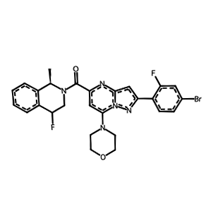 C[C@@H]1c2ccccc2C(F)CN1C(=O)c1cc(N2CCOCC2)n2nc(-c3ccc(Br)cc3F)cc2n1